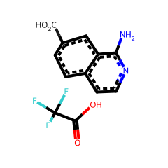 Nc1nccc2ccc(C(=O)O)cc12.O=C(O)C(F)(F)F